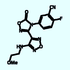 COCCNc1nonc1-c1noc(=O)n1-c1ccc(F)c(C#N)c1